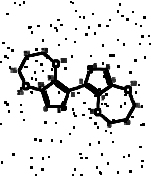 c1sc(-c2scc3c2OCCCO3)c2c1OCCCO2